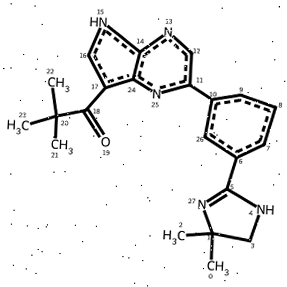 CC1(C)CNC(c2cccc(-c3cnc4[nH]cc(C(=O)C(C)(C)C)c4n3)c2)=N1